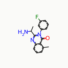 Cc1cccc2nc(C(C)N)n(-c3cccc(F)c3)c(=O)c12